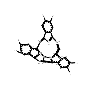 Fc1cc2c(cc1F)/C1=N/c3c4cc(F)c(F)cc4c4n3B(Cl)n3c(c5cc(F)c(F)cc5c3=N4)=C=NC2=N1